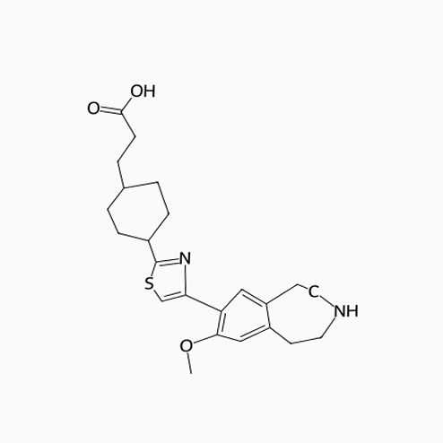 COc1cc2c(cc1-c1csc(C3CCC(CCC(=O)O)CC3)n1)CCNCC2